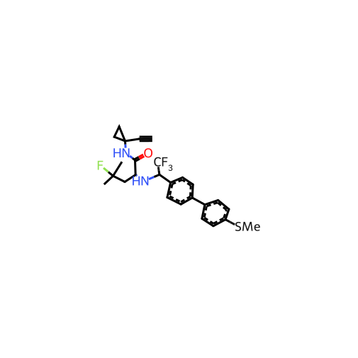 C#CC1(NC(=O)C(CC(C)(C)F)NC(c2ccc(-c3ccc(SC)cc3)cc2)C(F)(F)F)CC1